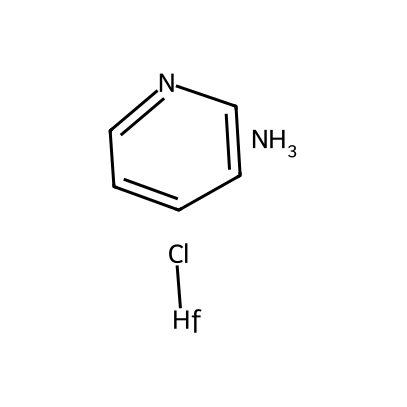 N.[Cl][Hf].c1ccncc1